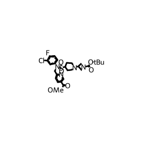 COC(=O)c1ccc(CN(c2ccc(F)c(Cl)c2)S(=O)(=O)C2CCN(C3CN(C(=O)OC(C)(C)C)C3)CC2)nc1